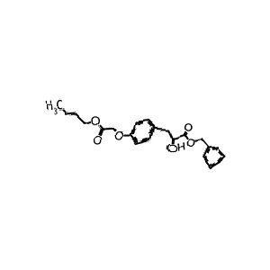 CCCCOC(=O)COc1ccc(CC(O)C(=O)OCc2ccccc2)cc1